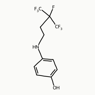 Oc1ccc(NCCC(F)(C(F)(F)F)C(F)(F)F)cc1